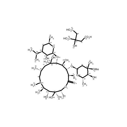 CC[C@H]1OC(=O)[C@H](C)[C@@H](O[C@H]2C[C@@](C)(OC)[C@@H](O)[C@H](C)O2)[C@H](C)[C@@H](O[C@@H]2O[C@H](C)C[C@H](N(C)C)[C@H]2O)[C@](C)(O)C[C@@H](C)CN(C)[C@H](C)[C@@H](O)[C@]1(C)O.O=C(O)CC(O)(CC(=O)O)C(=O)O